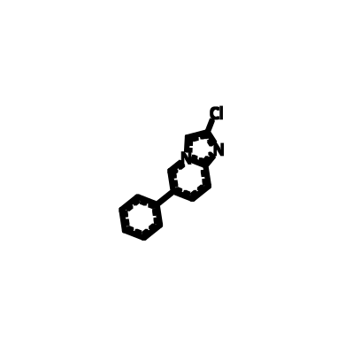 Clc1cn2cc(-c3ccccc3)ccc2n1